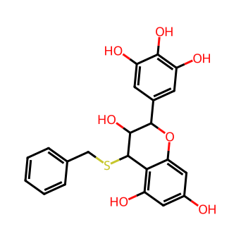 Oc1cc(O)c2c(c1)OC(c1cc(O)c(O)c(O)c1)C(O)C2SCc1ccccc1